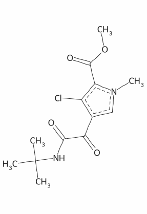 COC(=O)c1c(Cl)c(C(=O)C(=O)NC(C)(C)C)cn1C